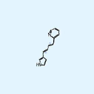 C(/C=C/c1ccccn1)=C\c1cc[nH]c1